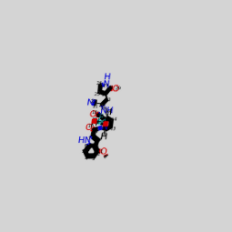 COc1cccc2[nH]c(C(=O)N3[C@@H]4CC[C@H]([C@@H]3C(=O)N[C@H](C#N)C[C@H]3CCNC3=O)C(F)(F)C4)cc12